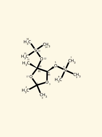 CC1(C)O[C@H](O[Si](C)(C)C)[C@@](C)(O[Si](C)(C)C)O1